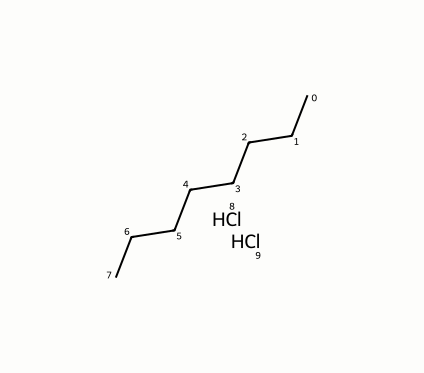 CCCCCCCC.Cl.Cl